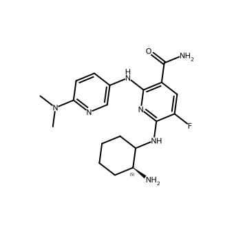 CN(C)c1ccc(Nc2nc(NC3CCCC[C@@H]3N)c(F)cc2C(N)=O)cn1